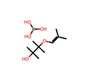 CC(C)=COC(C)(C)C(C)(C)O.OB(O)O